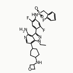 CCn1nc(-c2cc(F)c(NS(=O)(=O)Cc3ccccc3F)cc2F)c2c(N)ncc(C3CCC(NC4COC4)CC3)c21